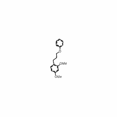 COc1ccc(CCCOc2ccccc2)c(OC)c1